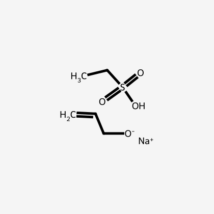 C=CC[O-].CCS(=O)(=O)O.[Na+]